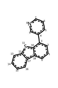 [c]1ccc(-c2cccnc2)c2sc3ccccc3c12